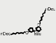 CCCCCCCCCCCCCCCCCCOc1cccc(P(CCCC)c2cccc(OCCCCCCCCCCCCCCCCCC)c2)c1